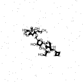 COC[C@](Cc1nn[nH]n1)(OC[C@H]1O[C@@H](n2ncc3c(NC4CCC4)nc(CO)nc32)[C@H](O)[C@@H]1O)P(=O)(O)O